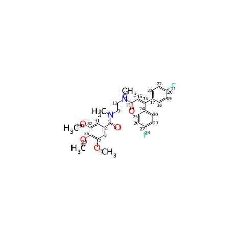 COc1cc(C(=O)N(C)CCN(C)C(=O)C=C(c2ccc(F)cc2)c2ccc(F)cc2)cc(OC)c1OC